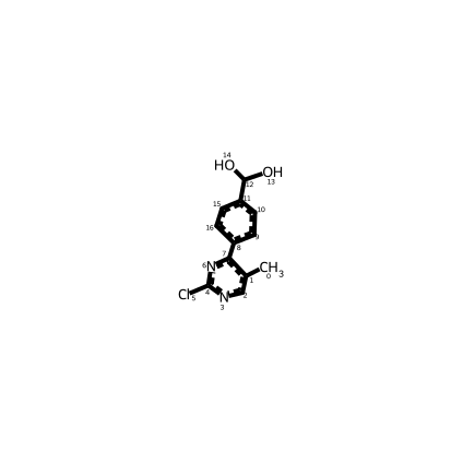 Cc1cnc(Cl)nc1-c1ccc(C(O)O)cc1